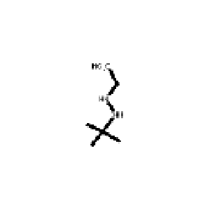 CC(C)(C)NNCC(=O)O